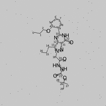 CCCOc1ccccc1-c1nc2c(CCC)n(CC(=O)NNC(=O)OC(C)(C)C)nc2c(=O)[nH]1